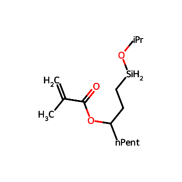 C=C(C)C(=O)OC(CCCCC)CC[SiH2]OC(C)C